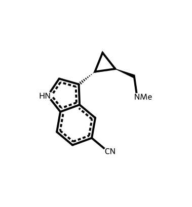 CNC[C@@H]1C[C@H]1c1c[nH]c2ccc(C#N)cc12